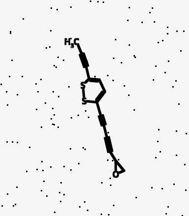 CC#CC1=CC=C(C#CC#CC2CO2)SS1